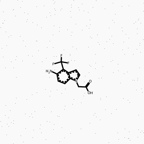 Nc1ccc2c(ccn2CC(=O)O)c1C(F)(F)F